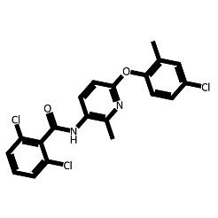 Cc1cc(Cl)ccc1Oc1ccc(NC(=O)c2c(Cl)cccc2Cl)c(C)n1